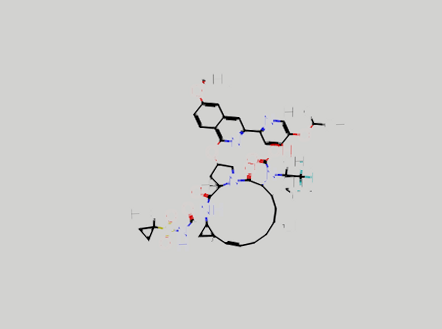 CC[C@@H]1C[C@H](C)CCC=C[C@@H]2C[C@@]2(C(=O)NS(=O)(=O)C2(C)CC2)NC(=O)[C@@H]2C[C@@H](Oc3nc(-c4ccc(OC(C)C)cn4)cc4cc(OC)ccc34)CN2C(=O)[C@H]1N(C(=O)O)C(C)(C)C(F)(F)F